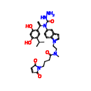 C=C(c1cc(C(C)C)c(O)cc1O)N(C(=O)NN)c1ccc2c(ccn2CCN(C)C(=O)CCCN2C(=O)C=CC2=O)c1